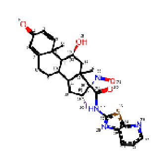 CC12C=CC(=O)C=C1CCC1C2[C@@H](O)CC2(C)C1C[C@@H](I)[C@]2(N=O)C(=O)Nc1nc2cccnc2s1